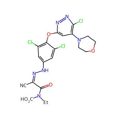 CCN(C(=O)O)C(=O)C(C#N)=NNc1cc(Cl)c(Oc2cc(N3CCOCC3)c(Cl)nn2)c(Cl)c1